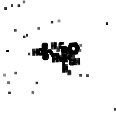 COc1ccccc1C(O)C(C)(C)NCCCS(=O)(=O)O